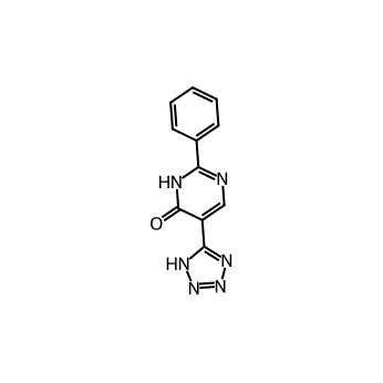 O=c1[nH]c(-c2ccccc2)ncc1-c1nnn[nH]1